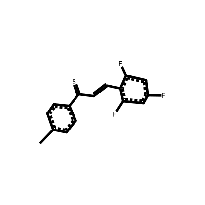 Cc1ccc(C(=S)C=Cc2c(F)cc(F)cc2F)cc1